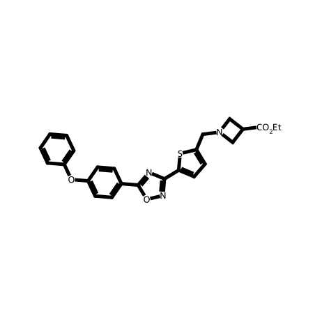 CCOC(=O)C1CN(Cc2ccc(-c3noc(-c4ccc(Oc5ccccc5)cc4)n3)s2)C1